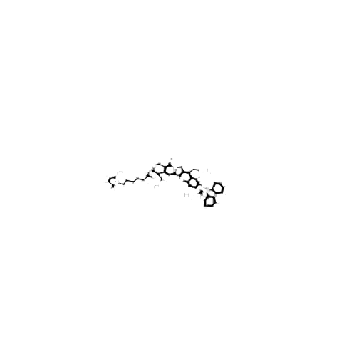 CCc1c2c(nc3ccc(O[Si](c4ccccc4)(c4ccccc4)C(C)(C)C)cc13)-c1cc3c(c(=O)n1C2)COC(=O)C3(CC)OC(=O)CCCCCN1C(=O)C=CC1=O